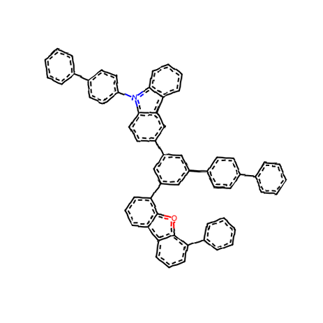 c1ccc(-c2ccc(-c3cc(-c4ccc5c(c4)c4ccccc4n5-c4ccc(-c5ccccc5)cc4)cc(-c4cccc5c4oc4c(-c6ccccc6)cccc45)c3)cc2)cc1